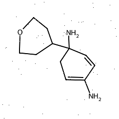 NC1=CCC(N)(C2CCOCC2)C=C1